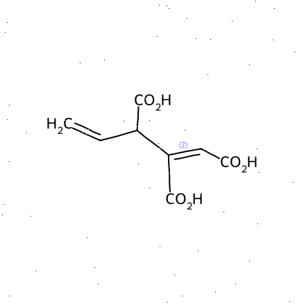 C=CC(C(=O)O)/C(=C/C(=O)O)C(=O)O